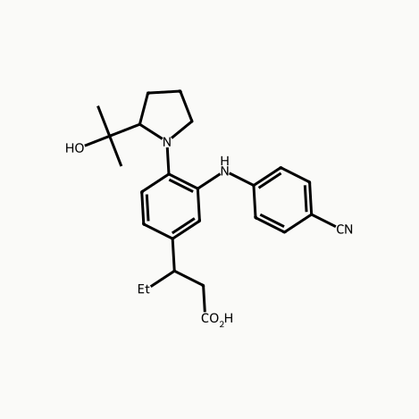 CCC(CC(=O)O)c1ccc(N2CCCC2C(C)(C)O)c(Nc2ccc(C#N)cc2)c1